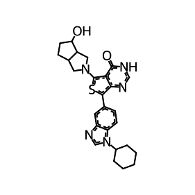 O=c1[nH]cnc2c(-c3ccc4c(c3)ncn4C3CCCCC3)sc(N3CC4CCC(O)C4C3)c12